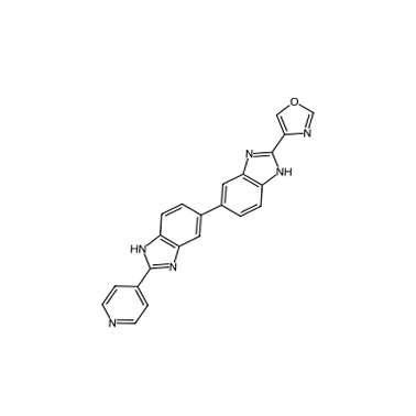 c1cc(-c2nc3cc(-c4ccc5[nH]c(-c6cocn6)nc5c4)ccc3[nH]2)ccn1